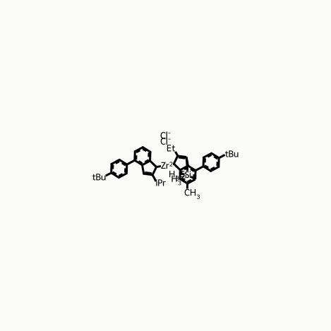 CCC1=C2c3c(cc(C)c(c3-c3ccc(C(C)(C)C)cc3)[Si]2(C)C)[CH]1[Zr+2][CH]1C(C(C)C)=Cc2c(-c3ccc(C(C)(C)C)cc3)cccc21.[Cl-].[Cl-]